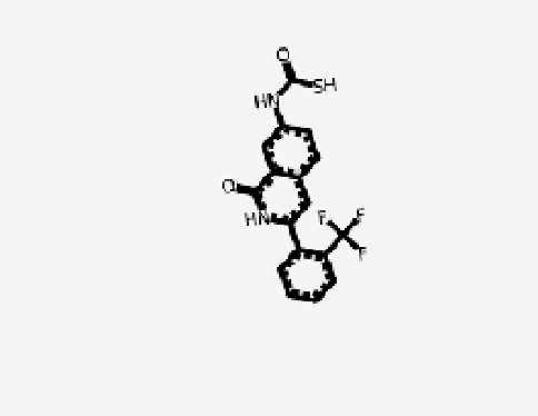 O=C(S)Nc1ccc2cc(-c3ccccc3C(F)(F)F)[nH]c(=O)c2c1